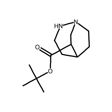 CC(C)(C)OC(=O)C1CN2CCC1CCN2